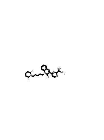 C[C@@H]1CCC[C@H](C)N1CCCCCn1c(=O)c(-c2ccnc(C(=N)N)n2)nc2ccccc21